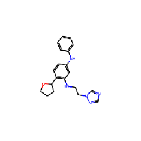 c1ccc(Nc2ccc(C3CCCO3)c(NCCn3cncn3)c2)cc1